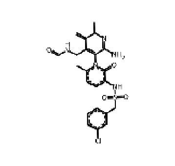 C=C1C(CNC=O)=C(n2c(C)ccc(NS(=O)(=O)Cc3cccc(Cl)c3)c2=O)C(N)=NC1C